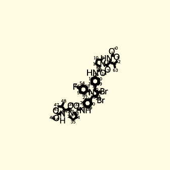 COC(=O)N[C@H](C(=O)N1CCC[C@H]1C(=O)Nc1ccc(-c2c(Br)c(Br)c(-c3ccc(NC(=O)[C@@H]4CCCN4C(=O)[C@@H](NC(=O)OC)C(C)C)cc3)n2-c2ccc(F)cc2)cc1)C(C)C